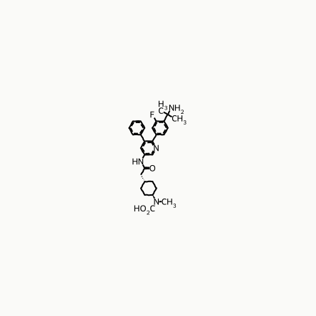 CN(C(=O)O)[C@H]1CC[C@H](CC(=O)Nc2cnc(-c3ccc(C(C)(C)N)c(F)c3)c(-c3ccccc3)c2)CC1